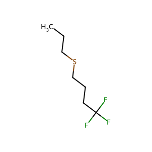 CCCSCCCC(F)(F)F